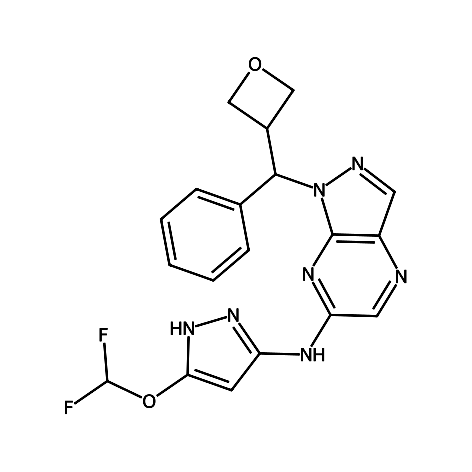 FC(F)Oc1cc(Nc2cnc3cnn(C(c4ccccc4)C4COC4)c3n2)n[nH]1